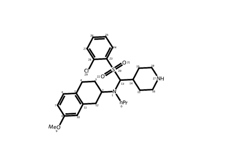 CCCN(C1CCc2ccc(OC)cc2C1)C(C1CCNCC1)S(=O)(=O)c1ccccc1Cl